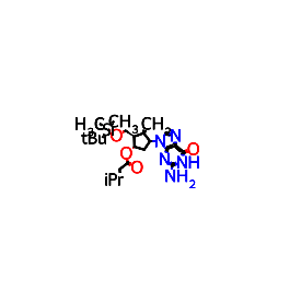 C=C1[C@H](CO[Si](C)(C)C(C)(C)C)[C@@H](OC(=O)CC(C)C)C[C@@H]1n1cnc2c(=O)[nH]c(N)nc21